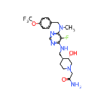 CN(Cc1ccc(OC(F)(F)F)cc1)c1ncnc(NC[C@@H]2CCN(CC(N)=O)C[C@H]2O)c1F